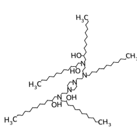 CCCCCCCCCCCCN(CCN1CCN(CCN(CC(O)CCCCCCCCCC)CC(O)CCCCCCCCCC)CC1)CCN(CC(O)CCCCCCCCCC)CC(O)CCCCCCCCCC